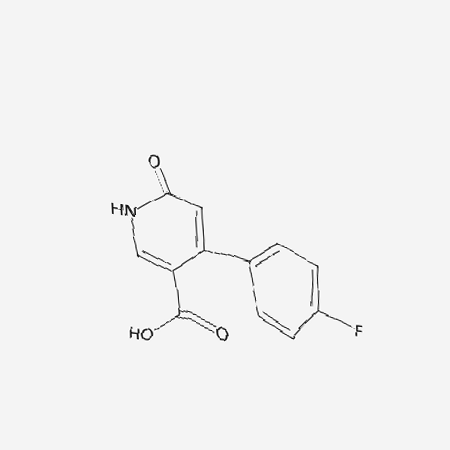 O=C(O)c1c[nH]c(=O)cc1-c1ccc(F)cc1